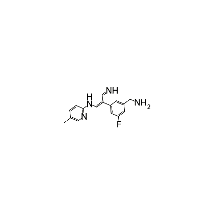 Cc1ccc(N/C=C(\C=N)c2cc(F)cc(CN)c2)nc1